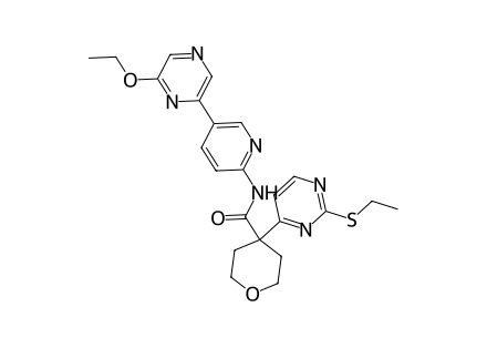 CCOc1cncc(-c2ccc(NC(=O)C3(c4ccnc(SCC)n4)CCOCC3)nc2)n1